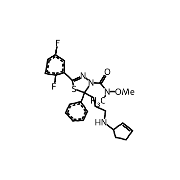 CON(C)C(=O)N1N=C(c2cc(F)ccc2F)SC1(CCCNC1C=CCC1)c1ccccc1